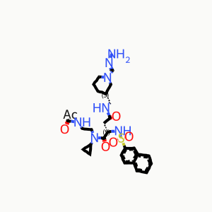 CC(=O)C(=O)NCCN(C(=O)[C@H](CC(=O)NC[C@@H]1CCCN(C=NN)C1)NS(=O)(=O)c1ccc2ccccc2c1)C1CC1